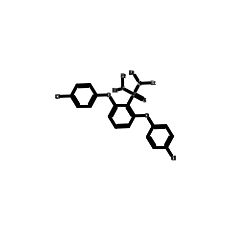 CCN(CC)P(=S)(c1c(Oc2ccc(Cl)cc2)cccc1Oc1ccc(Cl)cc1)N(CC)CC